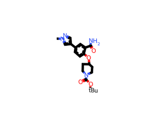 Cn1cc(-c2ccc(OC3CCN(C(=O)OC(C)(C)C)CC3)c(C(N)=O)c2)cn1